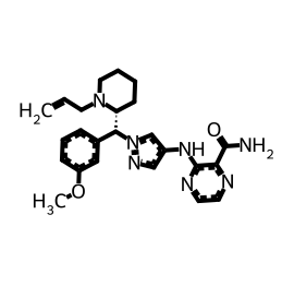 C=CCN1CCCC[C@@H]1C(c1cccc(OC)c1)n1cc(Nc2nccnc2C(N)=O)cn1